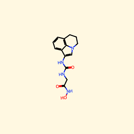 O=C(CNC(=O)Nc1cn2c3c(cccc13)CCC2)NO